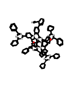 N#Cc1ccc(-c2nc(-c3ccccc3)nc(-c3cc(-c4ccccc4C#N)ccc3-n3c4ccc(-c5nc(-c6ccccc6)nc(-c6ccccc6)n5)cc4c4cc(-c5nc(-c6ccccc6)nc(-c6ccccc6)n5)ccc43)n2)c(-n2c3ccc(-c4nc(-c5ccccc5)nc(-c5ccccc5)n4)cc3c3cc(-c4nc(-c5ccccc5)nc(-c5ccccc5)n4)ccc32)c1